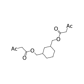 CC(=O)CC(=O)OCC1CCCC(COC(=O)CC(C)=O)C1